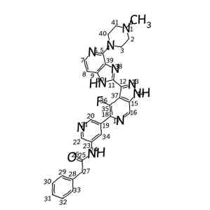 CN1CCN(c2nccc3[nH]c(-c4n[nH]c5cnc(-c6cncc(NC(=O)Cc7ccccc7)c6)c(F)c45)nc23)CC1